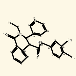 CC(C)CN1C(=O)c2ccccc2C(C(=O)Nc2ccc(F)c(C#N)c2)C1c1cccnc1